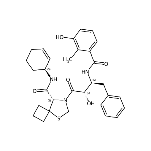 Cc1c(O)cccc1C(=O)N[C@@H](Cc1ccccc1)[C@H](O)C(=O)N1CSC2(CCC2)[C@@H]1C(=O)N[C@@H]1C=CCCC1